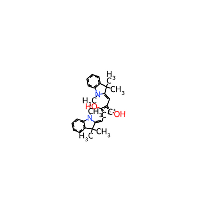 CN1C(=Cc2c(O)[c+](C=C3N(C)c4ccccc4C3(C)C)[c+]2O)C(C)(C)c2ccccc21